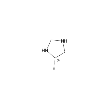 C[C@H]1CNCN1